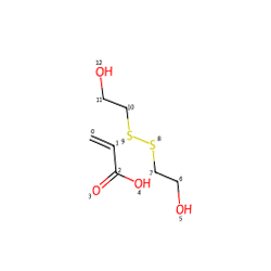 C=CC(=O)O.OCCSSCCO